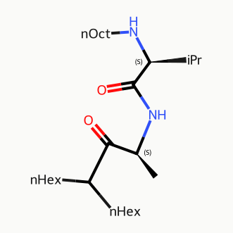 CCCCCCCCN[C@H](C(=O)N[C@@H](C)C(=O)C(CCCCCC)CCCCCC)C(C)C